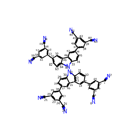 N#Cc1cc(C#N)cc(-c2ccc3c(c2)c2cc(-c4cc(C#N)cc(C#N)c4)ccc2n3-n2c3ccc(-c4cc(C#N)cc(C#N)c4)cc3c3cc(-c4cc(C#N)cc(C#N)c4)ccc32)c1